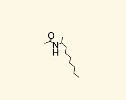 CCCCCCCC(C)NC(C)=O